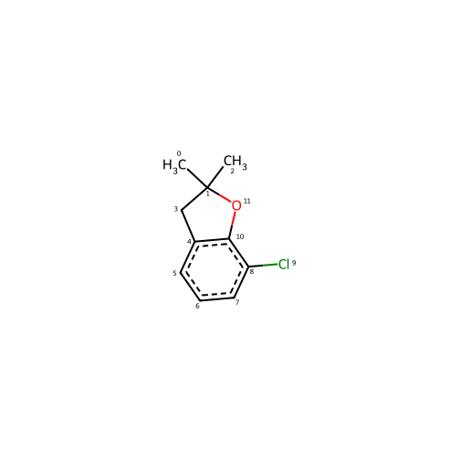 CC1(C)Cc2cccc(Cl)c2O1